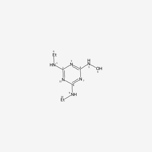 CCNc1nc(NO)nc(NCC)n1